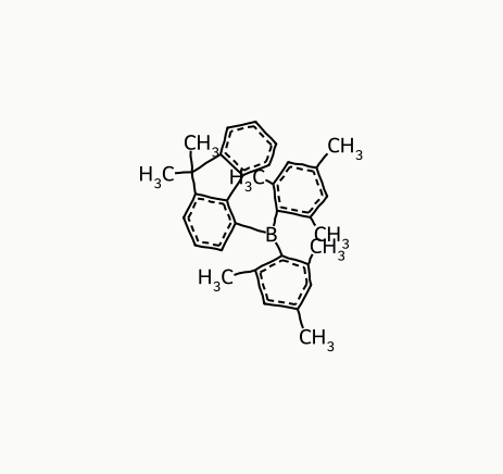 Cc1cc(C)c(B(c2cccc3c2-c2ccccc2C3(C)C)c2c(C)cc(C)cc2C)c(C)c1